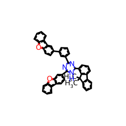 CC1(C)c2ccccc2-c2cccc(C3N=C(c4cccc(-c5ccc6oc7ccccc7c6c5)c4)N=C(c4ccc5c(c4)oc4ccccc45)N3)c21